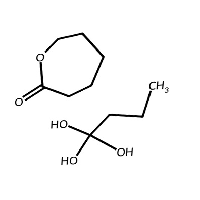 CCCC(O)(O)O.O=C1CCCCCO1